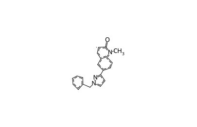 Cn1c(=O)[c]cc2cc(-c3ccn(Cc4ccccc4)n3)ccc21